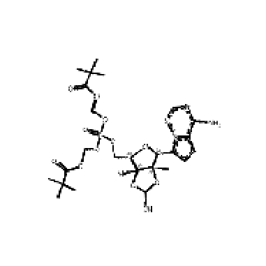 CC(C)(C)C(=O)OCOP(=O)(OCOC(=O)C(C)(C)C)OC[C@H]1O[C@@H](c2ccc3c(N)ncnn23)[C@]2(C)OC(O)O[C@H]12